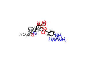 N=C(N)Nc1ccc(C(=O)Oc2cccc(C3=NO[C@](CC(=O)O)(C(=O)O)C3)c2)cc1.O.O